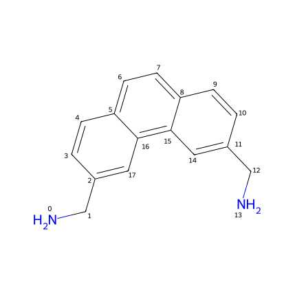 NCc1ccc2ccc3ccc(CN)cc3c2c1